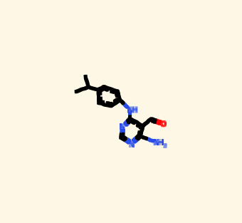 CC(C)c1ccc(Nc2ncnc(N)c2C=O)cc1